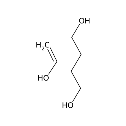 C=CO.OCCCCO